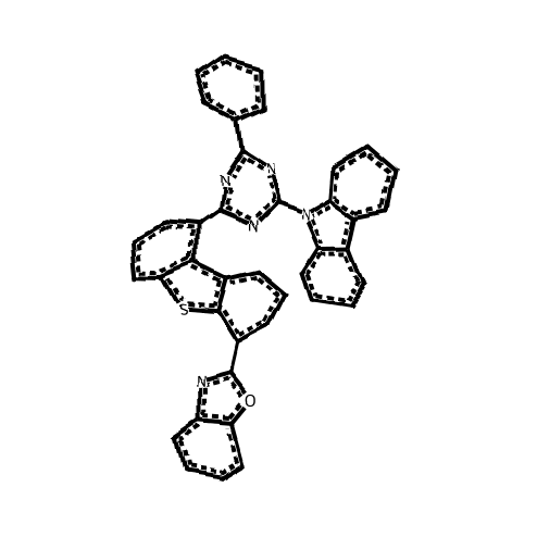 c1ccc(-c2nc(-c3cccc4sc5c(-c6nc7ccccc7o6)cccc5c34)nc(-n3c4ccccc4c4ccccc43)n2)cc1